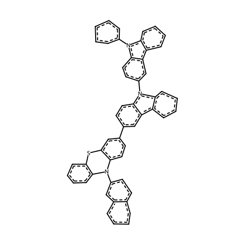 c1ccc(-n2c3ccccc3c3cc(-n4c5ccccc5c5cc(-c6ccc7c(c6)Sc6ccccc6N7c6ccc7ccccc7c6)ccc54)ccc32)cc1